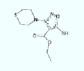 CCOC(=O)c1c([NH-])on[n+]1N1CCSCC1